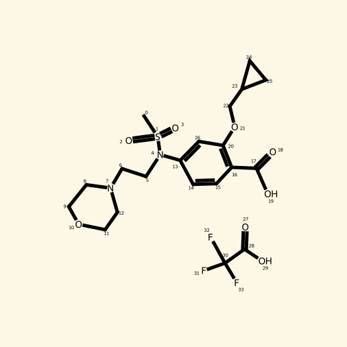 CS(=O)(=O)N(CCN1CCOCC1)c1ccc(C(=O)O)c(OCC2CC2)c1.O=C(O)C(F)(F)F